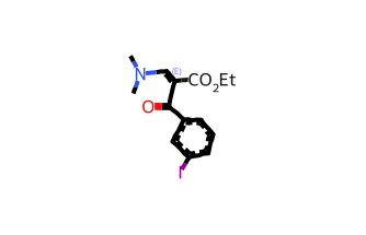 CCOC(=O)/C(=C/N(C)C)C(=O)c1cccc(I)c1